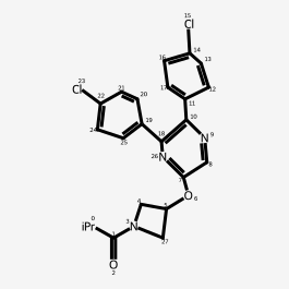 CC(C)C(=O)N1CC(Oc2cnc(-c3ccc(Cl)cc3)c(-c3ccc(Cl)cc3)n2)C1